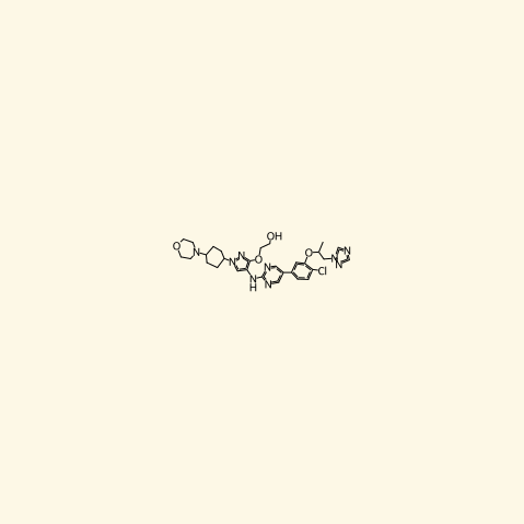 CC(Cn1cncn1)Oc1cc(-c2cnc(Nc3cn(C4CCC(N5CCOCC5)CC4)nc3OCCO)nc2)ccc1Cl